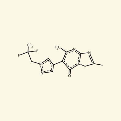 CC1=Nc2nc(C(F)(F)F)c(-c3cnn(CC(F)(F)C(F)(F)F)c3)c(=O)n2C1